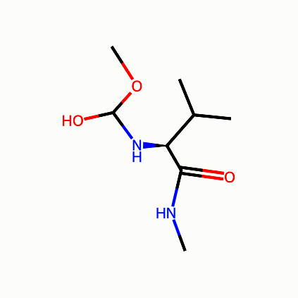 CNC(=O)[C@@H](NC(O)OC)C(C)C